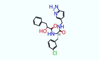 Nc1ccc(CNC(=O)[C@H](Cc2cccc(Cl)c2)NC(=O)C(O)Cc2ccccc2)cn1